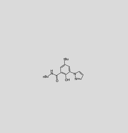 CCCCNC(=O)c1cc(C(C)(C)C)cc(-n2cccn2)c1O